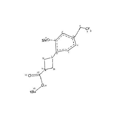 COc1cc(CC(F)(F)F)ccc1C1CN(C(=O)OC(C)(C)C)C1